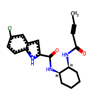 CC#CC(=O)N[C@H]1CCCC[C@H]1NC(=O)c1cc2cc(Cl)ccc2[nH]1